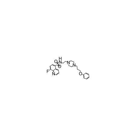 O=S(=O)(NCCN1CCN(CCCOc2ccccc2)CC1)c1ccc(F)c2ncccc12